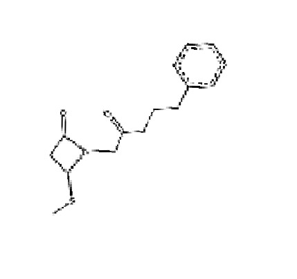 CSC1CC(=O)N1CC(=O)CCCc1ccccc1